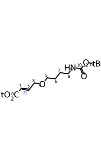 CCOC(=O)/C=C/COCCCCNC(=O)OC(C)(C)C